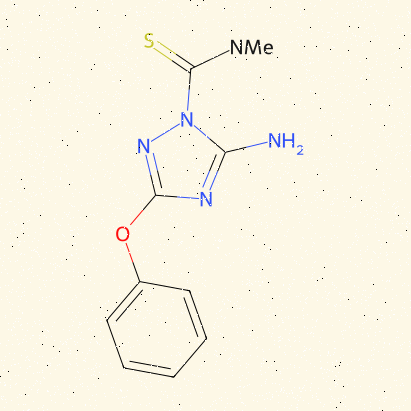 CNC(=S)n1nc(Oc2ccccc2)nc1N